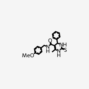 COc1ccc(CNC(=O)C2=C(C)NC(=S)NC2c2ccccc2)cc1